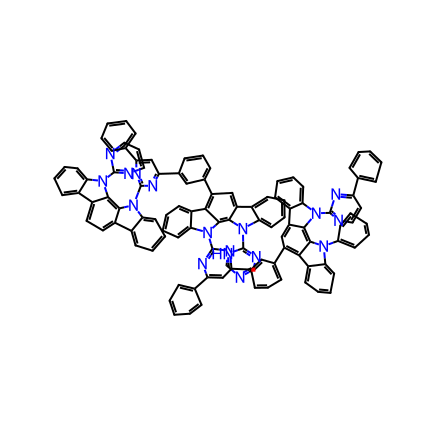 C1=NCNC(n2c3ccccc3c3cc(-c4cccc(-c5cc(-c6ccccc6)nc(-n6c7ccccc7c7ccc8c9ccccc9n(-c9ncccn9)c8c76)n5)c4)c4c5ccccc5n(-c5nc(-c6ccccc6)cc(-c6cccc(-c7cc8c9ccccc9n(-c9nccc(-c%10ccccc%10)n9)c8c8c7c7ccccc7n8-c7ccccc7)c6)n5)c4c32)=N1